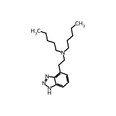 CCCCCN(CCCCC)CCc1cccc2[nH]nnc12